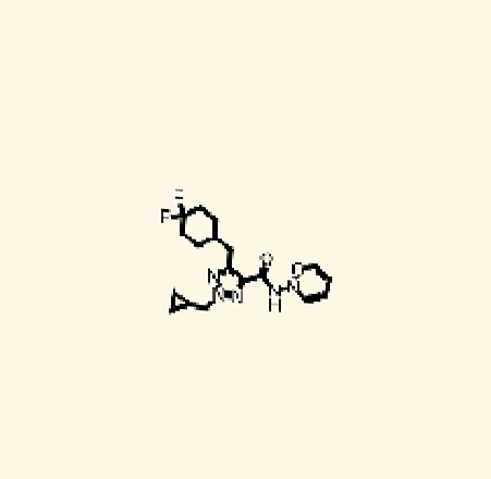 O=C(NN1C=CC=CO1)c1nn(CC2CC2)nc1CC1CCC(F)(F)CC1